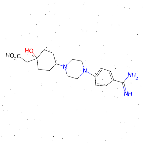 N=C(N)c1ccc(N2CCN(C3CCC(O)(CC(=O)O)CC3)CC2)cc1